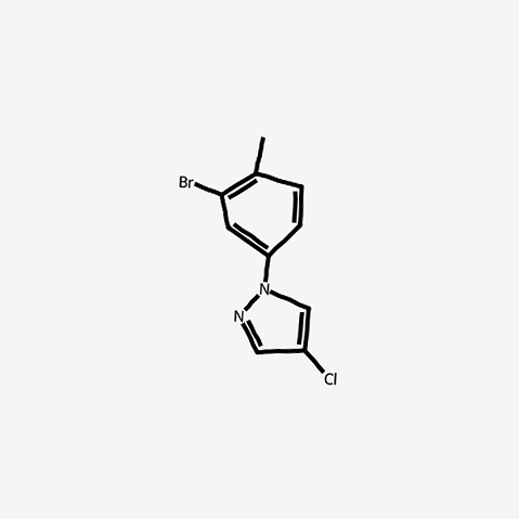 Cc1ccc(-n2cc(Cl)cn2)cc1Br